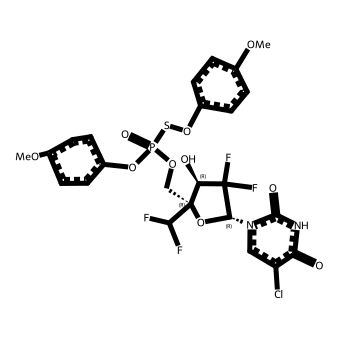 COc1ccc(OSP(=O)(OC[C@@]2(C(F)F)O[C@@H](n3cc(Cl)c(=O)[nH]c3=O)C(F)(F)[C@@H]2O)Oc2ccc(OC)cc2)cc1